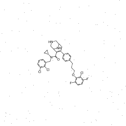 O=C(C1=C(c2ccc(CCCOc3c(F)ccc(F)c3Cl)cc2)CC2CNCC1N2)N(Cc1cccc(Cl)c1Cl)C1CC1